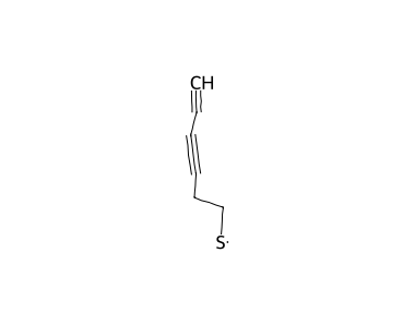 C#CC#CCC[S]